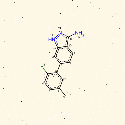 Cc1ccc(F)c(-c2ccc3c(N)n[nH]c3c2)c1